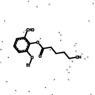 CCOc1cccc(C=O)c1OC(=O)CCCCO